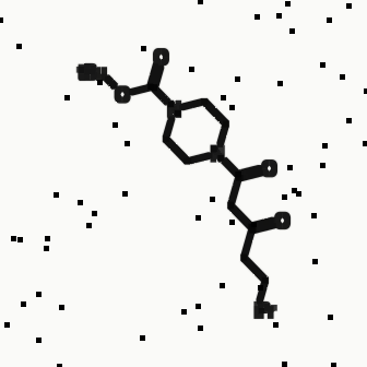 CC(C)CCC(=O)CC(=O)N1CCN(C(=O)OC(C)(C)C)CC1